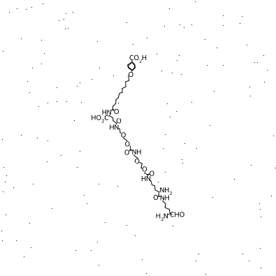 N[C@H](C=O)CCCCNC(=O)[C@@H](N)CCCCNC(=O)COCCOCCNC(=O)COCCOCCNC(=O)CC[C@H](NC(=O)CCCCCCCCCCCOc1ccc(C(=O)O)cc1)C(=O)O